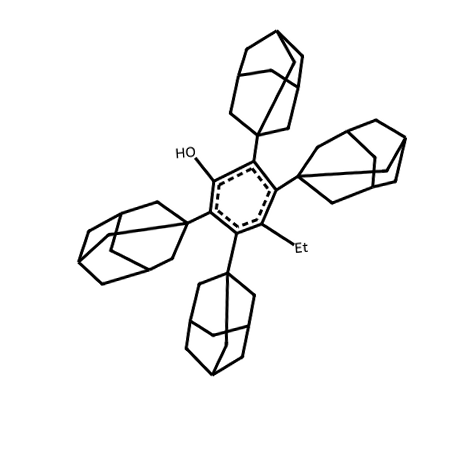 CCc1c(C23CC4CC(CC(C4)C2)C3)c(C23CC4CC(CC(C4)C2)C3)c(O)c(C23CC4CC(CC(C4)C2)C3)c1C12CC3CC(CC(C3)C1)C2